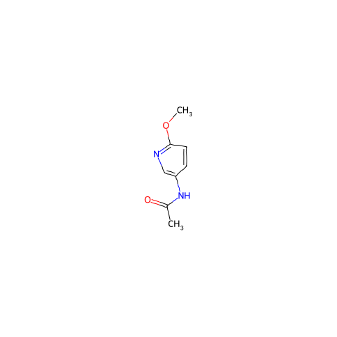 COc1ccc(NC(C)=O)cn1